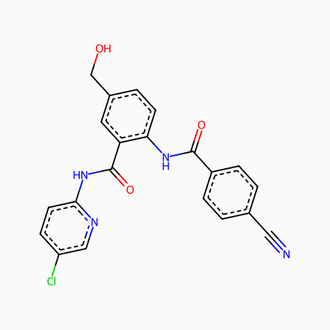 N#Cc1ccc(C(=O)Nc2ccc(CO)cc2C(=O)Nc2ccc(Cl)cn2)cc1